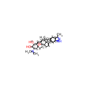 Cc1n[nH]c2cc(C3=CCC4[C@@]56CC[C@]7(C[C@H](N(C)C)[C@@H](O)[C@H](O)C7=CC5=CC(C)(C)[C@]34C)O6)ccc12